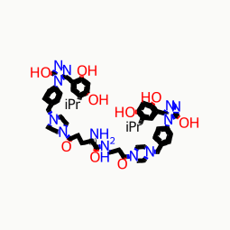 CC(C)c1cc(-c2nnc(O)n2-c2ccc(CN3CCN(C(=O)CCNC(=O)[C@H](N)CCC(=O)N4CCN(Cc5ccc(-n6c(O)nnc6-c6cc(C(C)C)c(O)cc6O)cc5)CC4)CC3)cc2)c(O)cc1O